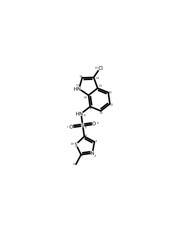 Cc1ncc(S(=O)(=O)Nc2cccc3c(Cl)c[nH]c23)s1